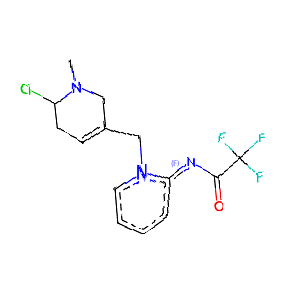 CN1CC(Cn2cccc/c2=N\C(=O)C(F)(F)F)=CCC1Cl